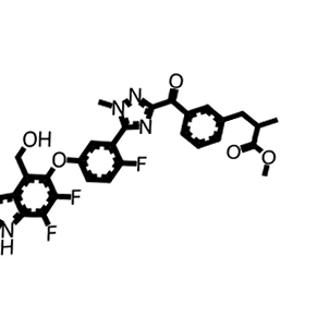 COC(=O)C(C)Cc1cccc(C(=O)c2nc(-c3cc(Oc4c(F)c(F)c5[nH]ccc5c4CO)ccc3F)n(C)n2)c1